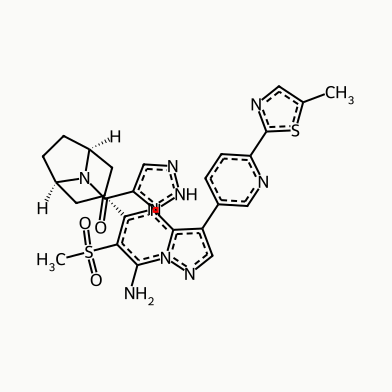 Cc1cnc(-c2ccc(-c3cnn4c(N)c(S(C)(=O)=O)c([C@@H]5C[C@H]6CC[C@@H](C5)N6C(=O)c5cn[nH]n5)nc34)cn2)s1